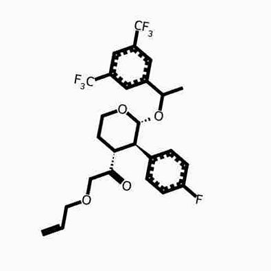 C=CCOCC(=O)[C@@H]1CCO[C@H](OC(C)c2cc(C(F)(F)F)cc(C(F)(F)F)c2)[C@H]1c1ccc(F)cc1